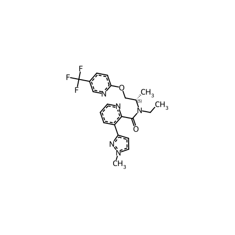 CCN(C(=O)c1ncccc1-c1ccn(C)n1)[C@@H](C)COc1ccc(C(F)(F)F)cn1